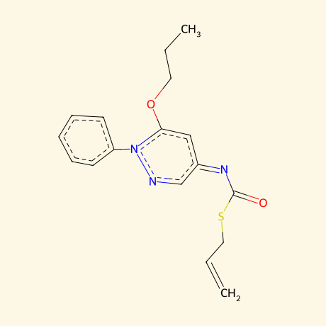 C=CCSC(=O)N=c1cnn(-c2ccccc2)c(OCCC)c1